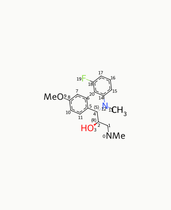 CNC[C@@H](O)[C@H](c1ccc(OC)cc1)N(C)c1cccc(F)c1